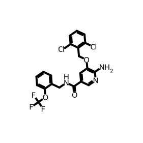 Nc1ncc(C(=O)NCc2ccccc2OC(F)(F)F)cc1OCc1c(Cl)cccc1Cl